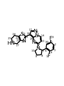 Fc1ccc(F)c(C2CCCN2c2ccn3ncc(-c4nc5c(s4)CCNC5)c3n2)c1